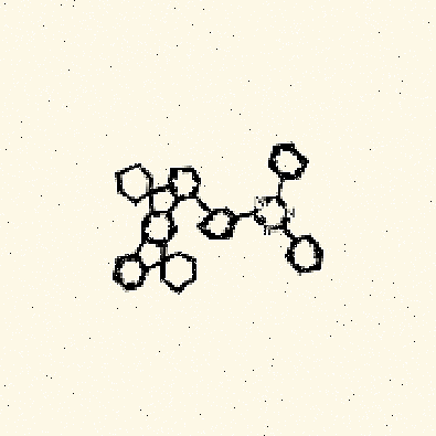 c1ccc(-c2nc(-c3ccccc3)nc(-c3cccc(-c4cccc5c4-c4cc6c(cc4C54CCCCC4)-c4ccccc4C64CCCCC4)c3)n2)cc1